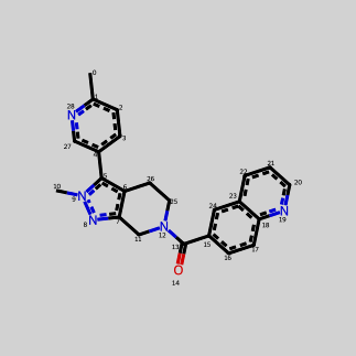 Cc1ccc(-c2c3c(nn2C)CN(C(=O)c2ccc4ncccc4c2)CC3)cn1